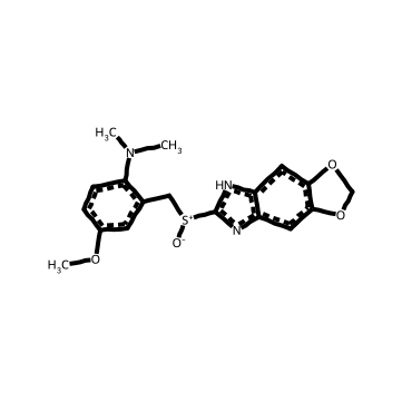 COc1ccc(N(C)C)c(C[S+]([O-])c2nc3cc4c(cc3[nH]2)OCO4)c1